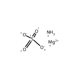 N.O=S(=O)([O-])[O-].[Mg+2]